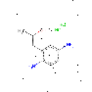 CC(O)Cc1cc(N)ccc1N.Cl.Cl